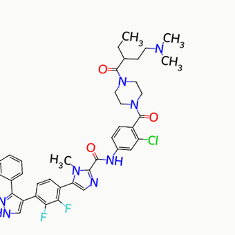 CCC(CCN(C)C)C(=O)N1CCN(C(=O)c2ccc(NC(=O)c3ncc(-c4ccc(-c5c[nH]nc5-c5ccccc5)c(F)c4F)n3C)cc2Cl)CC1